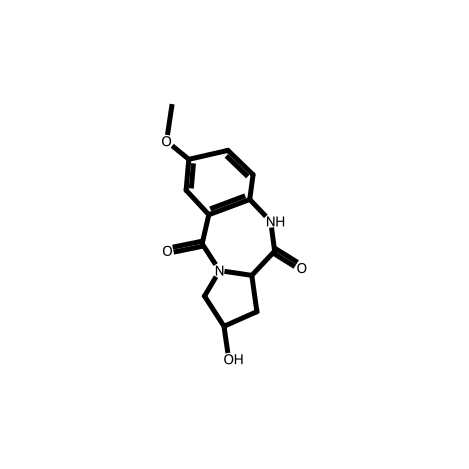 COc1ccc2c(c1)C(=O)N1CC(O)CC1C(=O)N2